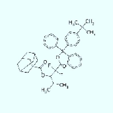 CC(C)C(OC(=O)C12CC3CC(CC(C3)C1)C2)C(F)(F)C(=O)OS(c1ccccc1)(c1ccccc1)c1ccc(C(C)(C)C)cc1